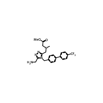 COC(=O)CN(C)Cc1nnc(CN)n1Cc1ccc(-c2ccc(C(F)(F)F)cc2)cc1